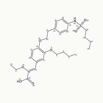 CCCCOc1cc(C=C(OCC)C(=O)O)ccc1OCCc1ccc(NS(=O)(=O)CCCC)cc1